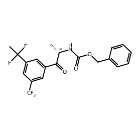 C[C@H](NC(=O)OCc1ccccc1)C(=O)c1cc(C(C)(F)F)cc(C(F)(F)F)c1